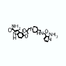 NC(=O)c1cc2c3c(ccc2[nH]1)OCC(CN1CCC(CNC(=O)c2cccnc2N)CC1)O3